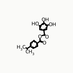 CC(C)c1ccc(C(=O)OC(=O)c2cc(O)c(O)c(O)c2)cc1